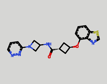 O=C(NC1CN(c2cccnn2)C1)[C@H]1C[C@H](Oc2cccc3scnc23)C1